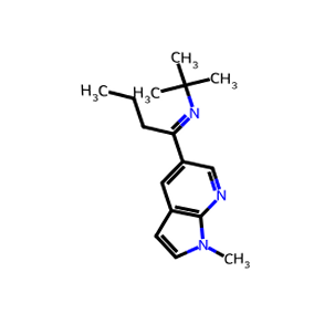 CCC/C(=N\C(C)(C)C)c1cnc2c(ccn2C)c1